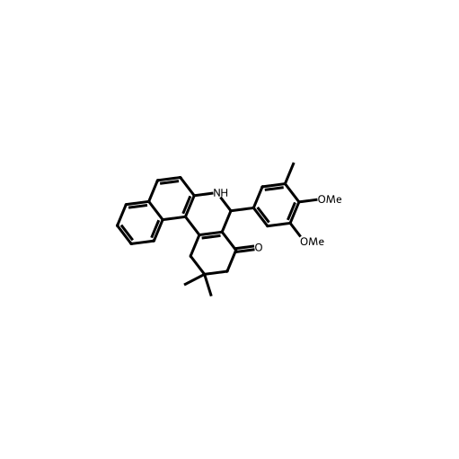 COc1cc(C2Nc3ccc4ccccc4c3C3=C2C(=O)CC(C)(C)C3)cc(C)c1OC